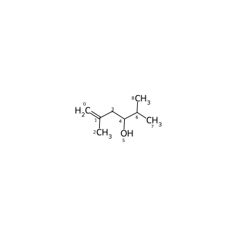 C=C(C)CC(O)C(C)C